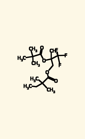 CCC(C)(C)C(=O)OCC(C)(OC(=O)C(C)(C)C)C(F)(F)F